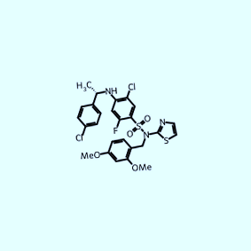 COc1ccc(CN(c2nccs2)S(=O)(=O)c2cc(Cl)c(N[C@@H](C)c3ccc(Cl)cc3)cc2F)c(OC)c1